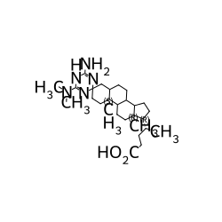 CC(CCC(=O)O)[C@H]1CCC2C3CCC4CC5(CC[C@]4(C)C3CC[C@@]21C)N=C(N)NC(N(C)C)=N5